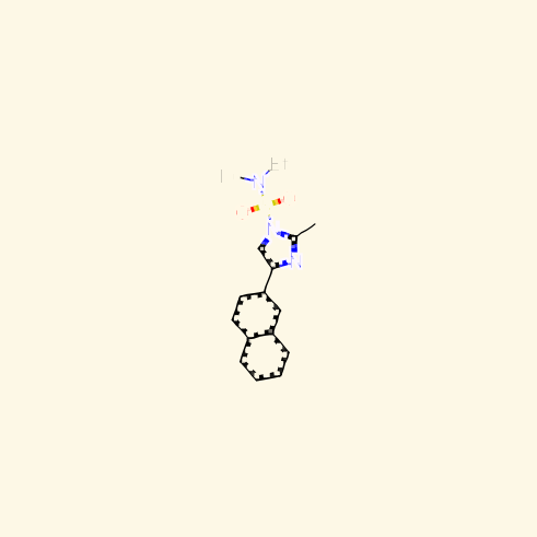 CCN(CC)S(=O)(=O)n1cc(-c2ccc3ccccc3c2)nc1C